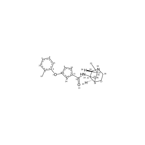 Cc1ccccc1Oc1ccc(C(=O)N[C@@H]2C3CCN(CC3)[C@H]2C)s1